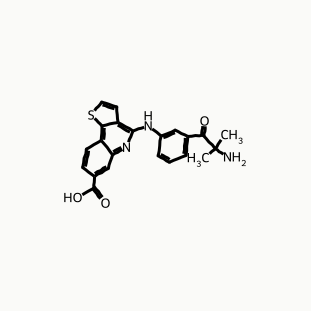 CC(C)(N)C(=O)c1cccc(Nc2nc3cc(C(=O)O)ccc3c3sccc23)c1